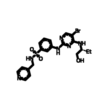 CC[C@H](CO)Nc1nc(Nc2cccc(S(=O)(=O)NCc3ccncc3)c2)ncc1Br